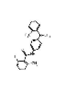 Cc1cccc(F)c1C(=O)Nc1ccc(N(C)c2ccccc2C(F)(F)F)cc1